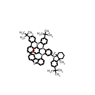 Cc1cc2c3c(c1)N(c1cccc4sc5ccccc5c14)c1cc(N4c5ccc(C(C)(C)C)cc5C5(C)CCCCC45C)ccc1B3c1ccc(C(C)(C)C)cc1N2c1ccc(C(C)(C)C)cc1-c1ccccc1